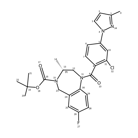 Cc1ccn(-c2ccc(C(=O)N3C[C@@H](C)N(C(=O)OC(C)(C)C)Cc4cc(F)ccc43)c(Cl)c2)n1